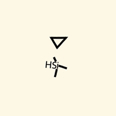 C1CC1.C[SiH](C)C